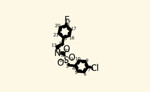 O=S(=O)(Cc1ccc(Cl)cc1)c1ncc(-c2ccc(F)cc2)o1